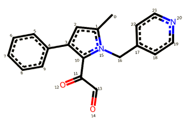 Cc1cc(-c2ccccc2)c(C(=O)[C]=O)n1Cc1ccncc1